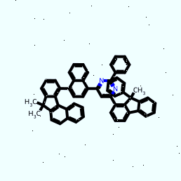 CC1(C)c2cccc(-c3ccc(-c4cc(-c5cccc6c5C(C)(c5ccccc5)c5ccccc5-6)nc(-c5ccccc5)n4)c4ccccc34)c2-c2c1ccc1ccccc21